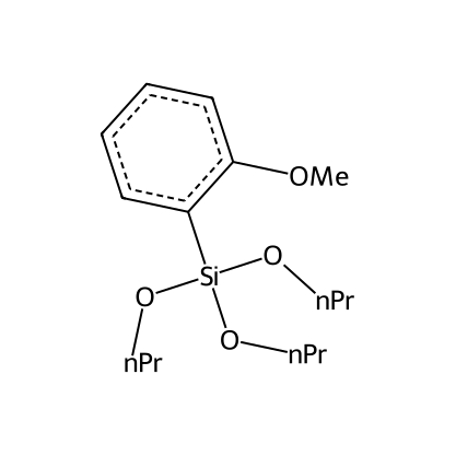 CCCO[Si](OCCC)(OCCC)c1ccccc1OC